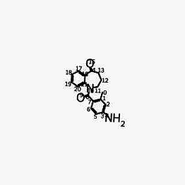 Cc1cc(N)ccc1C(=O)N1CCCC(=O)c2ccccc21